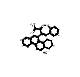 Cl.NC(=O)C1=NSc2ccccc2C=C1c1cc2ccccc2c2ccc3c(c12)CCCC3